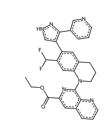 CCOC(=O)c1cc2cccnc2c(N2CCCc3cc(-c4c[nH]nc4-c4cccnc4)c(C(F)F)cc32)n1